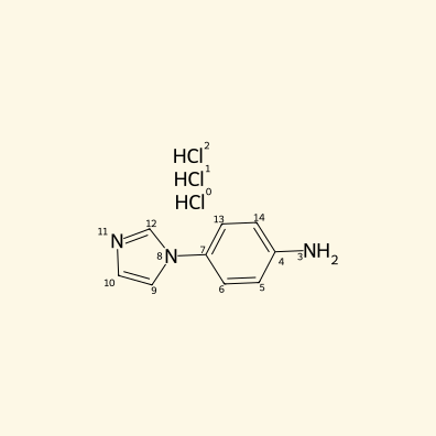 Cl.Cl.Cl.Nc1ccc(-n2ccnc2)cc1